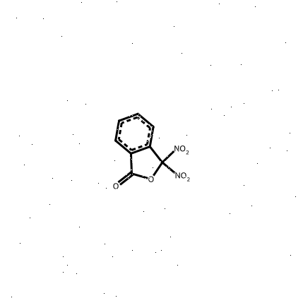 O=C1OC([N+](=O)[O-])([N+](=O)[O-])c2ccccc21